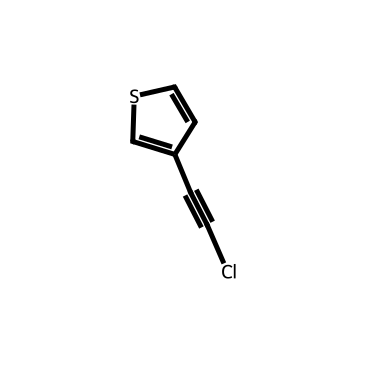 ClC#Cc1ccsc1